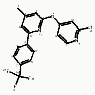 Cc1cc(Oc2ccnc(Cl)c2)nc(-c2ccc(C(F)(F)F)cc2)c1